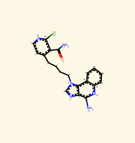 NC(=O)c1c(CCCCn2cnc3c(N)nc4ccccc4c32)ccnc1Cl